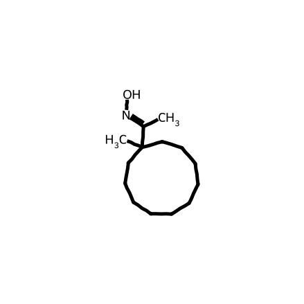 C/C(=N\O)C1(C)CCCCCCCCCC1